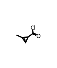 CC1=CC1C(=O)Cl